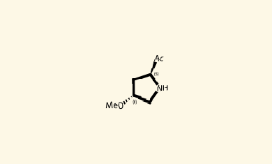 CO[C@H]1CN[C@H](C(C)=O)C1